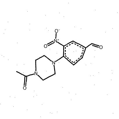 CC(=O)N1CCN(c2ccc(C=O)cc2[N+](=O)[O-])CC1